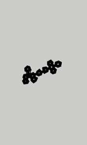 c1ccc(-c2c3ccccc3c(-c3ccc(-c4ccc(-c5cc6c(c7ccccc57)c5c7ccccc7ccc5n6-c5ccccc5)cc4)cc3)c3ccccc23)cc1